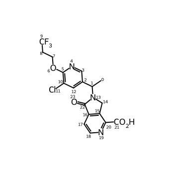 CC(c1cnc(OCCC(F)(F)F)c(Cl)c1)N1Cc2c(ccnc2C(=O)O)C1=O